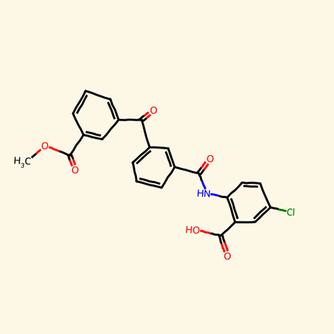 COC(=O)c1cccc(C(=O)c2cccc(C(=O)Nc3ccc(Cl)cc3C(=O)O)c2)c1